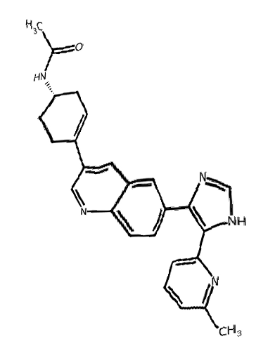 CC(=O)N[C@@H]1CC=C(c2cnc3ccc(-c4nc[nH]c4-c4cccc(C)n4)cc3c2)CC1